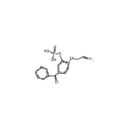 C=CCOc1ccc(C(=O)c2ccccc2)cc1OP(=O)(O)O